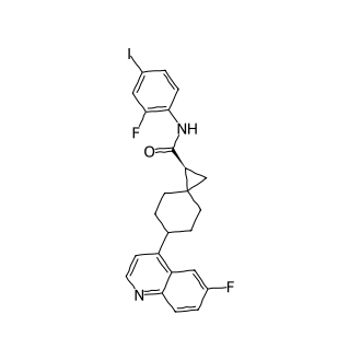 O=C(Nc1ccc(I)cc1F)[C@H]1CC12CCC(c1ccnc3ccc(F)cc13)CC2